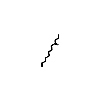 C=CCCCCCCC(=O)CCC